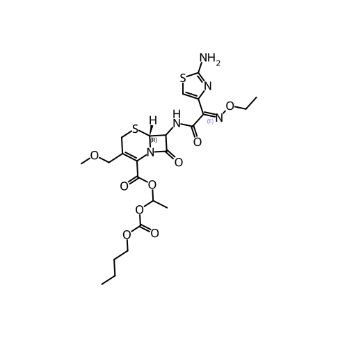 CCCCOC(=O)OC(C)OC(=O)C1=C(COC)CS[C@@H]2C(NC(=O)/C(=N/OCC)c3csc(N)n3)C(=O)N12